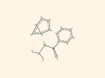 CC(C)OC(=O)c1ccccc1.c1cc2cc-2c1